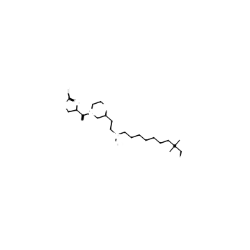 CCCN(CCCCCCCC(C)(C)CO)CCC1CN(C(=O)C2CSC(C(C)C)=N2)CCO1